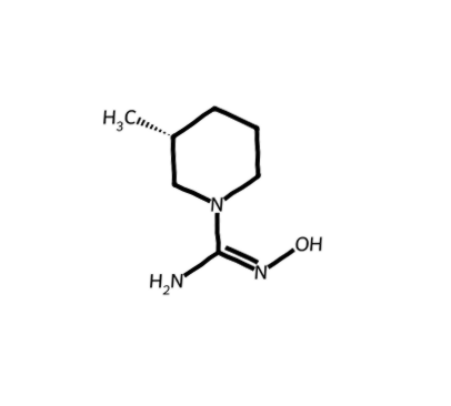 C[C@@H]1CCCN(/C(N)=N\O)C1